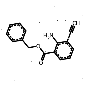 C#Cc1cccc(C(=O)OCc2ccccc2)c1N